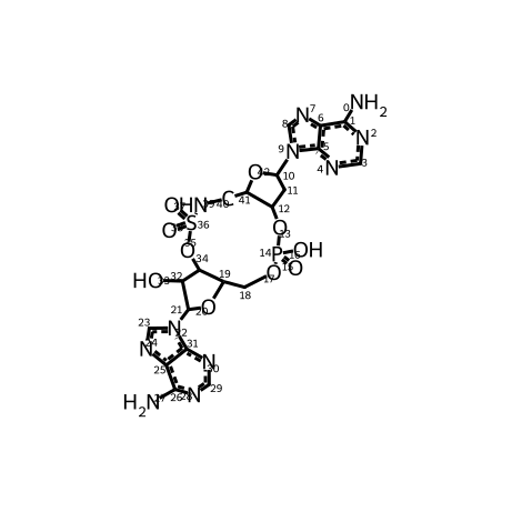 Nc1ncnc2c1ncn2C1CC2OP(=O)(O)OCC3OC(n4cnc5c(N)ncnc54)C(O)C3OS(=O)(=O)NCC2O1